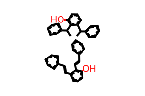 CC(c1ccccc1)c1cccc(O)c1C(C)c1ccccc1.Oc1cccc(C=Cc2ccccc2)c1C=Cc1ccccc1